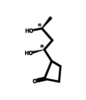 C[C@H](O)C[C@@H](O)C1CCC1=O